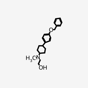 CN(CCO)C1CCC(c2ccc(OCc3ccccc3)cc2)CC1